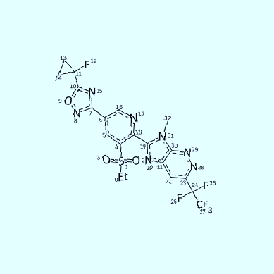 CCS(=O)(=O)c1cc(-c2noc(C3(F)CC3)n2)cnc1-c1nc2cc(C(F)(F)C(F)(F)F)nnc2n1C